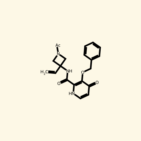 C=CC1(NC(=O)c2[nH]ccc(=O)c2OCc2ccccc2)CN(C(C)=O)C1